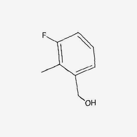 Cc1c(F)cccc1CO